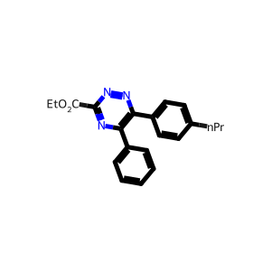 CCCc1ccc(-c2nnc(C(=O)OCC)nc2-c2ccccc2)cc1